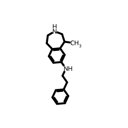 CC1CNCCc2ccc(NCCc3ccccc3)cc21